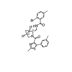 Cc1cccc(-c2sc(C)nc2C(=O)N2C[C@@H]3C[C@@H]3[C@H]2CNC(=O)c2cc(C)ccc2Br)c1